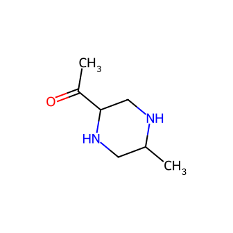 CC(=O)C1CNC(C)CN1